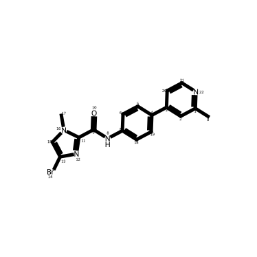 Cc1cc(-c2ccc(NC(=O)c3nc(Br)cn3C)cc2)ccn1